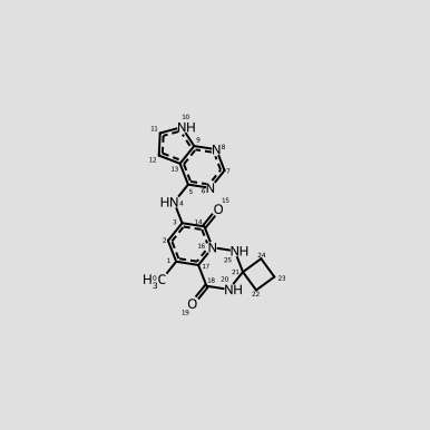 Cc1cc(Nc2ncnc3[nH]ccc23)c(=O)n2c1C(=O)NC1(CCC1)N2